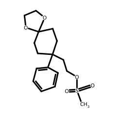 CS(=O)(=O)OCCC1(c2ccccc2)CCC2(CC1)OCCO2